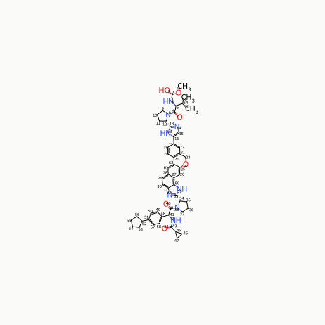 COC(O)N[C@H](C(=O)N1CCC[C@H]1c1ncc(-c2ccc3c(c2)COc2cc4c(ccc5nc([C@@H]6CCCN6C(=O)[C@H](NC(=O)C6CC6)c6ccc(C7CCCC7)cc6)[nH]c54)cc2-3)[nH]1)C(C)C